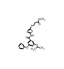 COC(=O)CCSc1cnc(NC(=O)c2cc(Oc3ccccc3)cc(OC(C)C)c2)s1